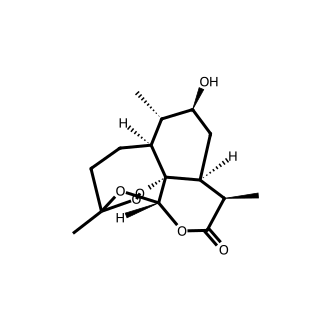 C[C@@H]1[C@@H](O)C[C@H]2[C@@H](C)C(=O)O[C@@H]3OC4(C)CC[C@@H]1[C@]32OO4